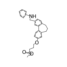 CS(=O)(=O)CCCOc1ccc2c(c1)CCCc1ccc(CNc3ccccc3)cc1-2